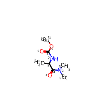 CCN(C)C(=O)[C@@H](C)NC(=O)OC(C)(C)C